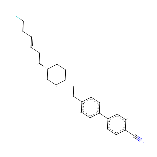 N#Cc1ccc(-c2ccc(CC[C@H]3CC[C@H](CC/C=C/CCF)CC3)cc2)cc1